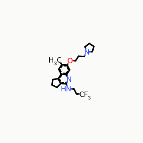 Cc1cc2c3c(c(NCCC(F)(F)F)nc2cc1OCCCN1CCCC1)CCC3